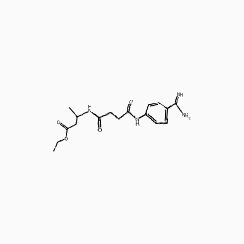 CCOC(=O)CC(C)NC(=O)CCC(=O)Nc1ccc(C(=N)N)cc1